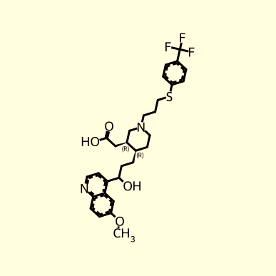 COc1ccc2nccc(C(O)CC[C@@H]3CCN(CCCSc4ccc(C(F)(F)F)cc4)C[C@@H]3CC(=O)O)c2c1